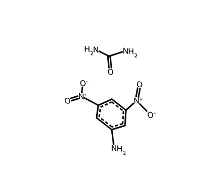 NC(N)=O.Nc1cc([N+](=O)[O-])cc([N+](=O)[O-])c1